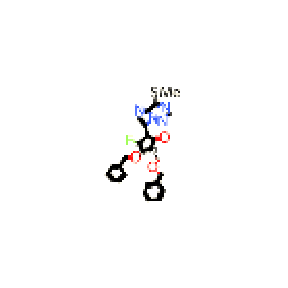 CSc1ncnn2c(C3C(=O)[C@H](COCc4ccccc4)[C@@H](OCc4ccccc4)[C@H]3F)cnc12